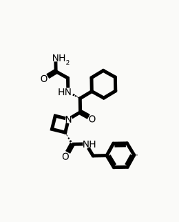 NC(=O)CN[C@@H](C(=O)N1CC[C@H]1C(=O)NCc1cc[c]cc1)C1CCCCC1